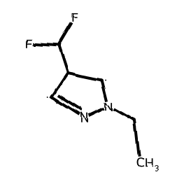 CCN1[CH]C(C(F)F)[C]=N1